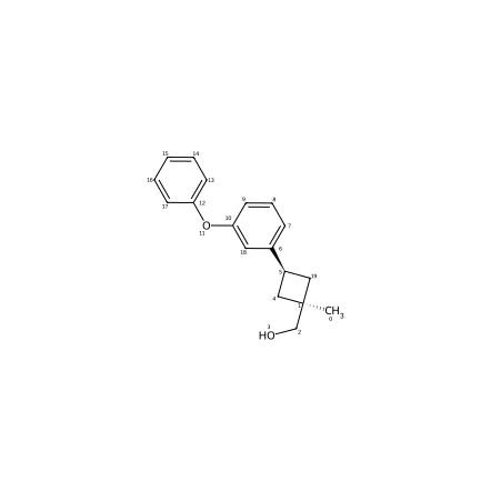 C[C@]1(CO)C[C@@H](c2cccc(Oc3ccccc3)c2)C1